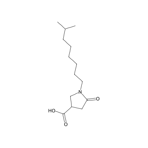 CC(C)CCCCCCN1CC(C(=O)O)CC1=O